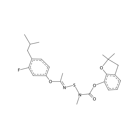 C/C(=N\SN(C)C(=O)Oc1cccc2c1OC(C)(C)C2)Oc1ccc(CC(C)C)c(F)c1